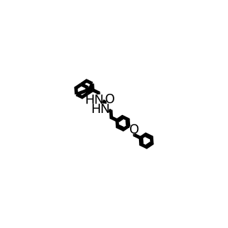 O=C(NCCc1ccc(OCc2ccccc2)cc1)NCC1C2CC3CC(C2)CC1C3